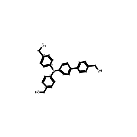 OCc1ccc(-c2ccc(N(c3ccc(CO)cc3)c3ccc(CO)cc3)cc2)cc1